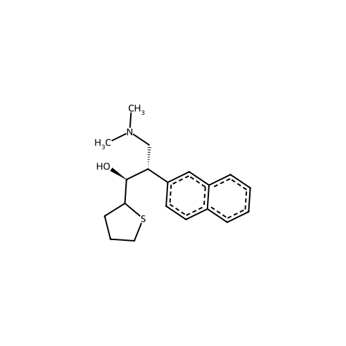 CN(C)C[C@H](c1ccc2ccccc2c1)[C@H](O)C1CCCS1